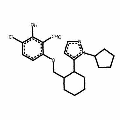 O=Cc1c(OCC2CCCCC2c2ccnn2C2CCCC2)ccc(Cl)c1O